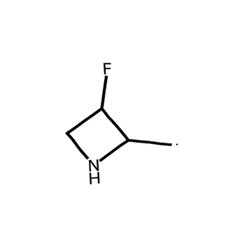 [CH2]C1NCC1F